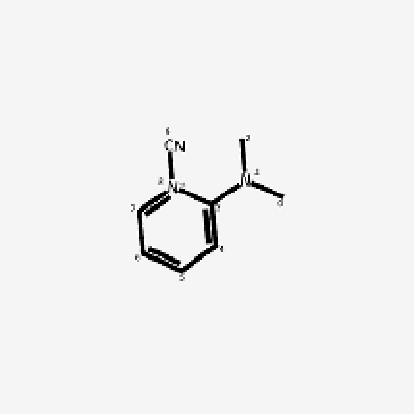 CN(C)c1cccc[n+]1C#N